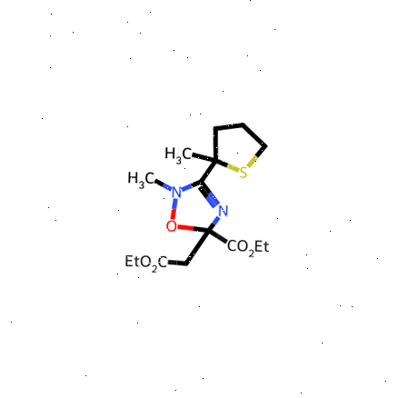 CCOC(=O)CC1(C(=O)OCC)N=C(C2(C)CCCS2)N(C)O1